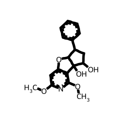 COc1cc2c(c(OC)n1)C1(O)C(O)CC(c3ccccc3)C1O2